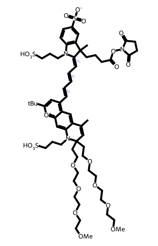 COCCOCCOCCOCCC1(CCOCCOCCOCCOC)C=C(C)c2cc3c(/C=C/C=C/C=C4\N(CCCS(=O)(=O)O)c5ccc(S(=O)(=O)[O-])cc5C4(C)CCCC(=O)ON4C(=O)CCC4=O)cc(C(C)(C)C)[o+]c3cc2N1CCCS(=O)(=O)O